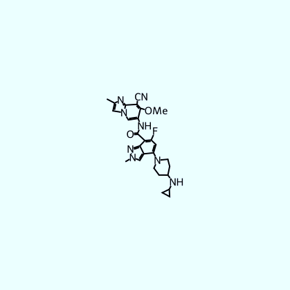 COc1c(NC(=O)c2c(F)cc(N3CCC(NC4CC4)CC3)c3cn(C)nc23)cn2cc(C)nc2c1C#N